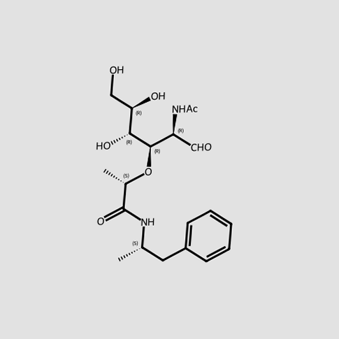 CC(=O)N[C@@H](C=O)[C@@H](O[C@@H](C)C(=O)N[C@@H](C)Cc1ccccc1)[C@H](O)[C@H](O)CO